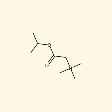 CC(C)OC(=O)C[N+](C)(C)C